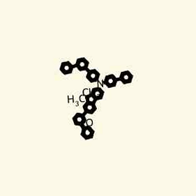 CC1(C)c2cc(-c3cccc4c3oc3ccccc34)ccc2-c2ccc(N(c3ccc(-c4ccccc4)cc3)c3ccc(-c4cccc(-c5ccccc5)c4)cc3)cc21